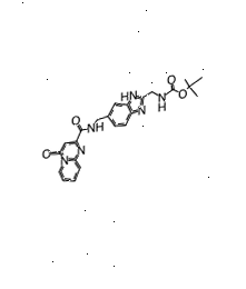 CC(C)(C)OC(=O)NCc1nc2ccc(CNC(=O)c3cc(=O)n4ccccc4n3)cc2[nH]1